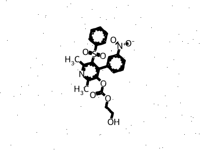 Cc1nc(C)c(S(=O)(=O)c2ccccc2)c(-c2cccc([N+](=O)[O-])c2)c1OC(=O)OCCO